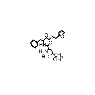 CC(C)CC(N)C(=O)NC(Cc1ccccc1)C(=O)CSCc1ccco1.Cl